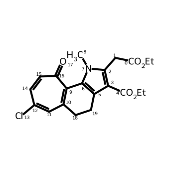 CCOC(=O)Cc1c(C(=O)OCC)c2c(n1C)-c1c(cc(Cl)ccc1=O)CC2